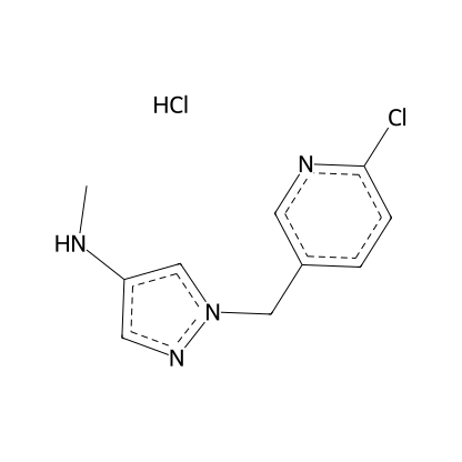 CNc1cnn(Cc2ccc(Cl)nc2)c1.Cl